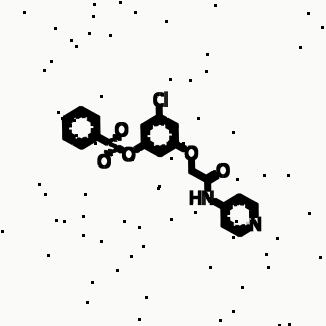 O=C(COc1cc(Cl)cc(OS(=O)(=O)c2ccccc2)c1)Nc1ccncc1